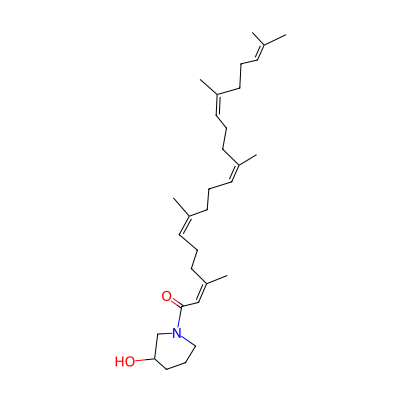 CC(C)=CCCC(C)=CCCC(C)=CCCC(C)=CCCC(C)=CC(=O)N1CCCC(O)C1